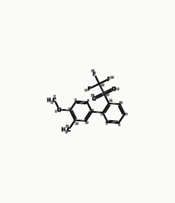 COc1ccc(-c2[c]cccc2S(=O)(=O)C(F)(F)F)cc1C